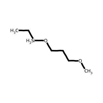 CC[SiH2]OCCCOC